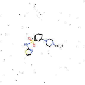 O=C(O)N1CCN(c2cccc(S(=O)(=O)Nc3nccs3)c2)CC1